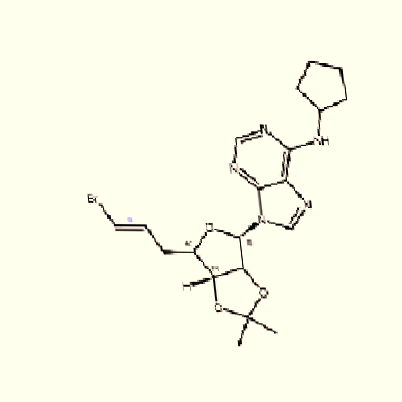 CC1(C)OC2[C@H](n3cnc4c(NC5CCCC5)ncnc43)O[C@H](C/C=C/Br)[C@H]2O1